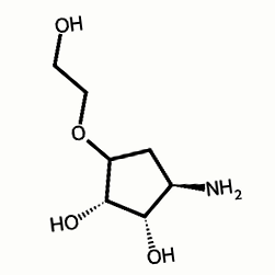 N[C@@H]1CC(OCCO)[C@@H](O)[C@H]1O